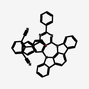 N#Cc1cccc(C#N)c1-c1cccc(-n2c3ccccc3c3ccc4c5ccccc5n(-c5nc(-c6ccccc6)nc(-c6ccccc6)n5)c4c32)c1